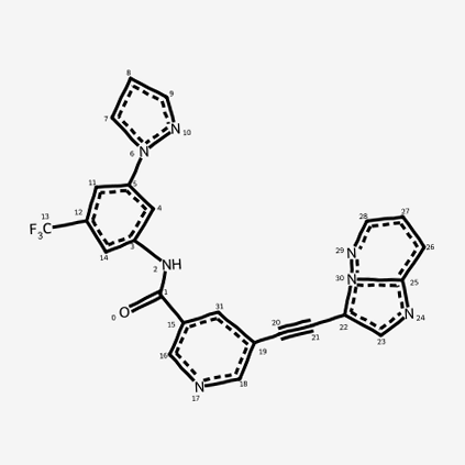 O=C(Nc1cc(-n2cccn2)cc(C(F)(F)F)c1)c1cncc(C#Cc2cnc3cccnn23)c1